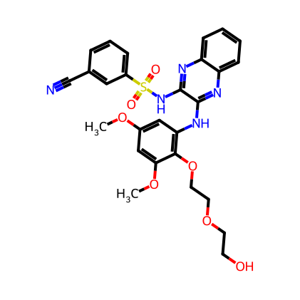 COc1cc(Nc2nc3ccccc3nc2NS(=O)(=O)c2cccc(C#N)c2)c(OCCOCCO)c(OC)c1